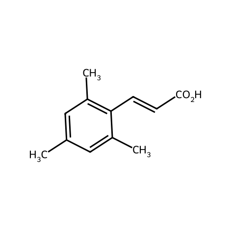 Cc1cc(C)c(C=CC(=O)O)c(C)c1